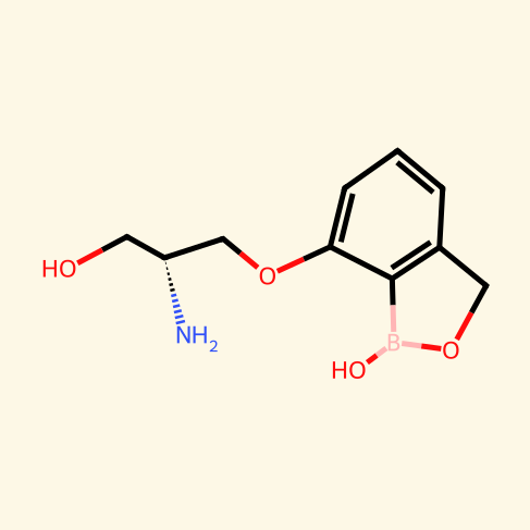 N[C@H](CO)COc1cccc2c1B(O)OC2